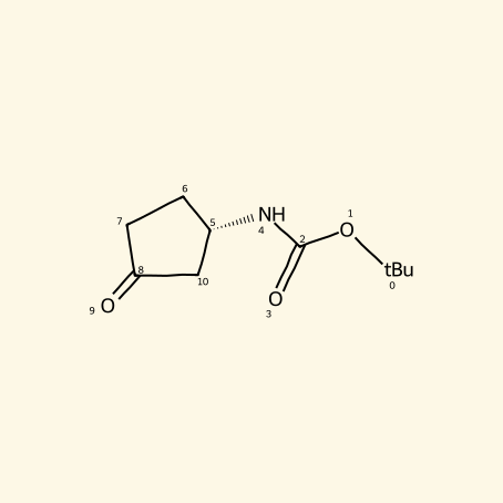 CC(C)(C)OC(=O)N[C@H]1CCC(=O)C1